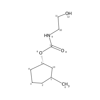 CC1CCC[C@H](OC(=O)NCCO)C1